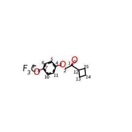 O=C(COc1ccc(OC(F)(F)F)cc1)C1CCC1